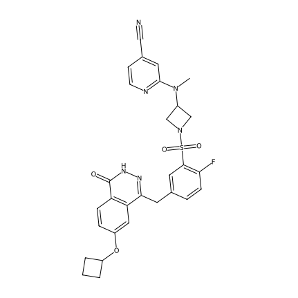 CN(c1cc(C#N)ccn1)C1CN(S(=O)(=O)c2cc(Cc3n[nH]c(=O)c4ccc(OC5CCC5)cc34)ccc2F)C1